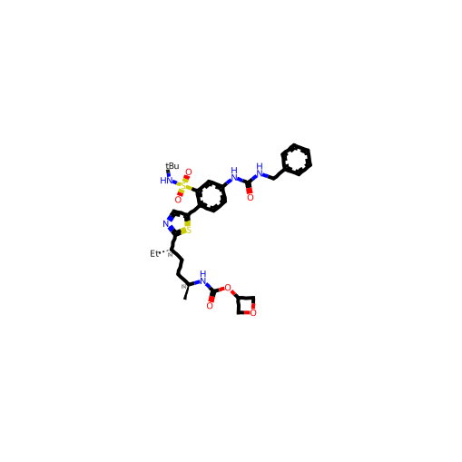 CC[C@@H](CC[C@H](C)NC(=O)OC1COC1)c1ncc(-c2ccc(NC(=O)NCc3ccccc3)cc2S(=O)(=O)NC(C)(C)C)s1